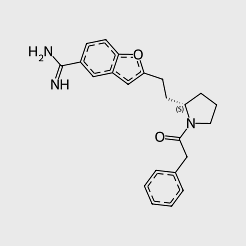 N=C(N)c1ccc2oc(CC[C@@H]3CCCN3C(=O)Cc3ccccc3)cc2c1